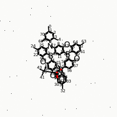 Cc1cc(C)c(N2c3cc4c(cc3B3c5cc6c(cc5Oc5cc(C)cc2c53)Oc2cc(C)cc3c2B6c2cc(C(C)(C)C)ccc2O3)B2c3cc(C(C)(C)C)ccc3Oc3cc(C)cc(c32)O4)c(C)c1